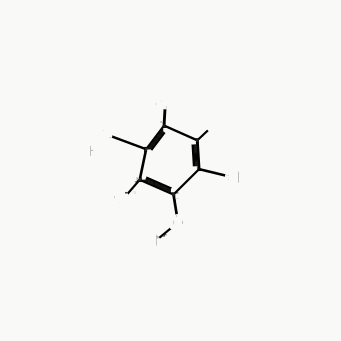 ClOc1c(Cl)c(Cl)c(Cl)c(Cl)c1Cl.[K]